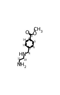 COC(=O)c1ccc(CNCCN)cc1